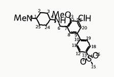 CNC1CCC(NCc2cc(-c3ccc(S(C)(=O)=O)cc3)ccc2OC)CC1.Cl